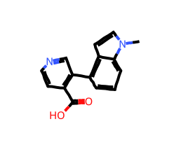 Cn1ccc2c(-c3cnccc3C(=O)O)cccc21